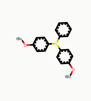 CC(C)(C)Oc1ccc([S+](c2ccccc2)c2ccc(OC(C)(C)C)cc2)cc1